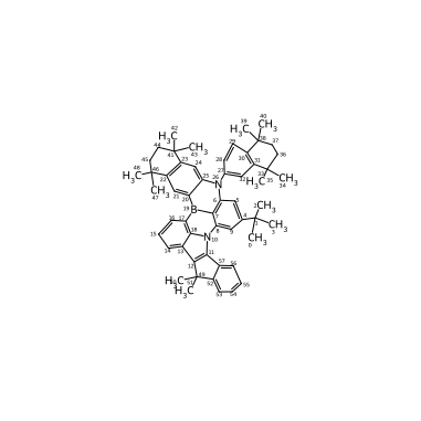 CC(C)(C)c1cc2c3c(c1)-n1c4c(c5cccc(c51)B3c1cc3c(cc1N2c1ccc2c(c1)C(C)(C)CCC2(C)C)C(C)(C)CCC3(C)C)C(C)(C)c1ccccc1-4